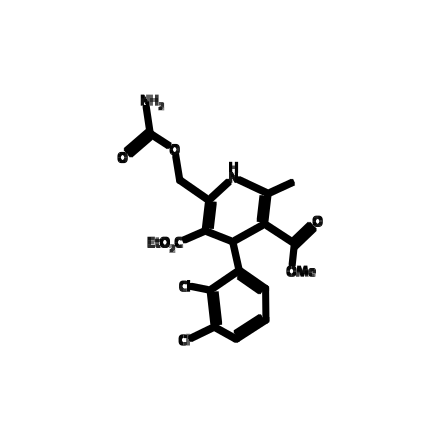 CCOC(=O)C1=C(COC(N)=O)NC(C)=C(C(=O)OC)C1c1cccc(Cl)c1Cl